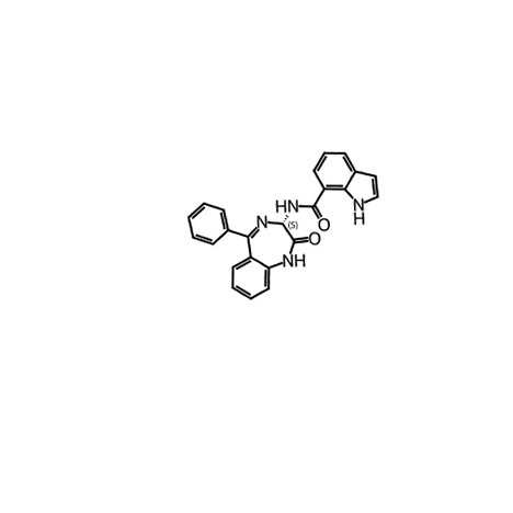 O=C(N[C@H]1N=C(c2ccccc2)c2ccccc2NC1=O)c1cccc2cc[nH]c12